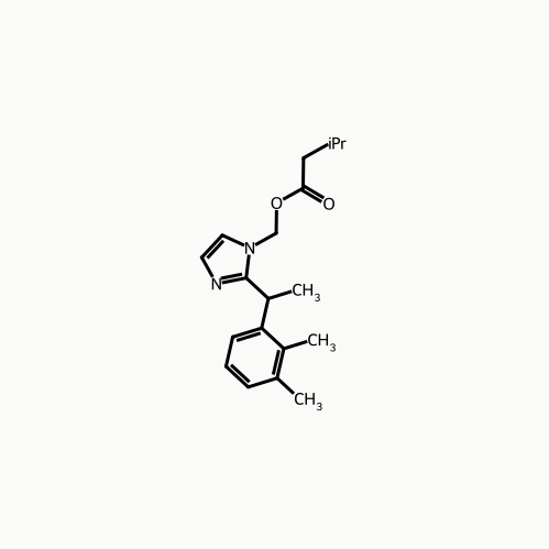 Cc1cccc(C(C)c2nccn2COC(=O)CC(C)C)c1C